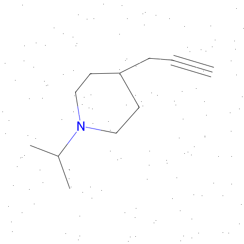 C#CCC1CCN(C(C)C)CC1